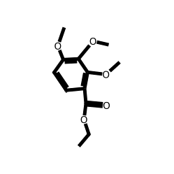 CCOC(=O)c1[c]cc(OC)c(OC)c1OC